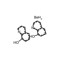 Oc1cccc2cccnc12.Oc1cccc2cccnc12.[BeH2]